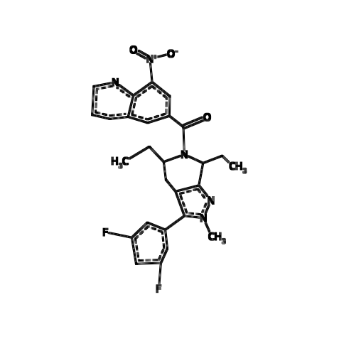 CCC1Cc2c(nn(C)c2-c2cc(F)cc(F)c2)C(CC)N1C(=O)c1cc([N+](=O)[O-])c2ncccc2c1